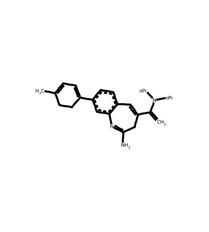 C=C(C1=Cc2ccc(C3=CC=C(C)CC3)cc2N=C(N)C1)N(CCC)CCC